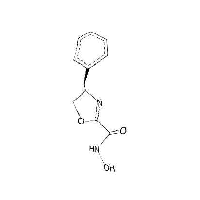 O=C(NO)C1=N[C@H](c2ccccc2)CO1